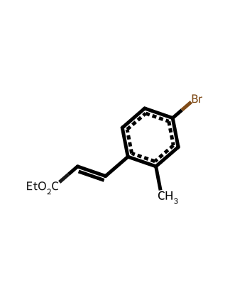 CCOC(=O)C=Cc1ccc(Br)cc1C